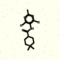 Cc1nc(Cl)c(NC(=O)C2CCC(C)(C)CC2)c(Cl)n1